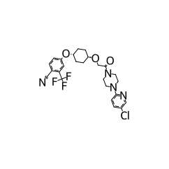 N#Cc1ccc(O[C@H]2CC[C@H](OCC(=O)N3CCN(c4ccc(Cl)cn4)CC3)CC2)cc1C(F)(F)F